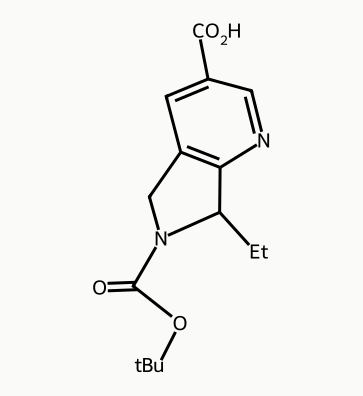 CCC1c2ncc(C(=O)O)cc2CN1C(=O)OC(C)(C)C